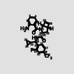 Nc1ccccc1C(=O)N1[C@@H](C(=O)N[C@@H](c2ccc(C(F)(F)F)cc2F)C2CC2)C[C@H]2C=C[C@H]21